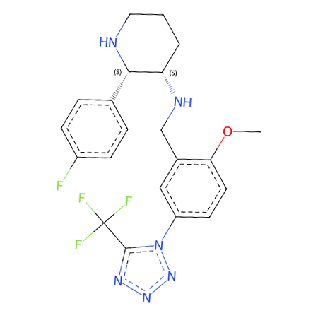 COc1ccc(-n2nnnc2C(F)(F)F)cc1CN[C@H]1CCCN[C@H]1c1ccc(F)cc1